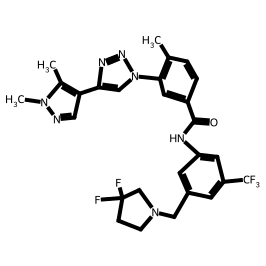 Cc1ccc(C(=O)Nc2cc(CN3CCC(F)(F)C3)cc(C(F)(F)F)c2)cc1-n1cc(-c2cnn(C)c2C)nn1